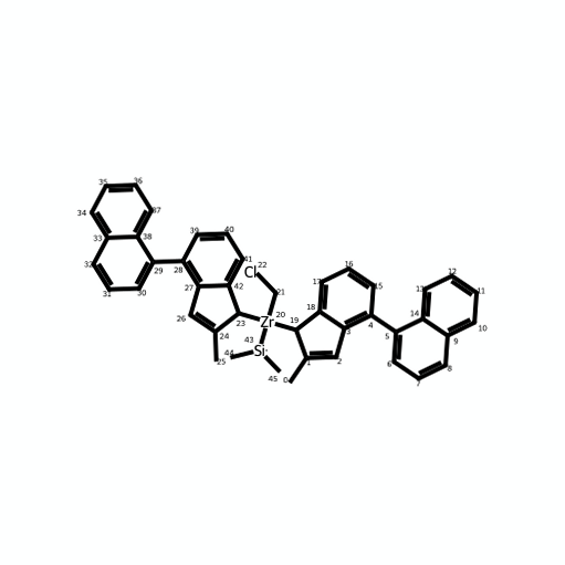 CC1=Cc2c(-c3cccc4ccccc34)cccc2[CH]1[Zr]([CH2]Cl)([CH]1C(C)=Cc2c(-c3cccc4ccccc34)cccc21)[Si](C)C